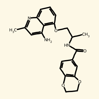 Cc1cc(N)c2c(OCC(C)NC(=O)c3ccc4c(c3)OCCO4)cccc2n1